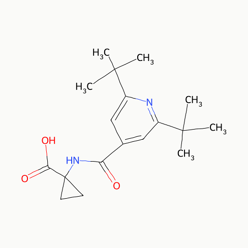 CC(C)(C)c1cc(C(=O)NC2(C(=O)O)CC2)cc(C(C)(C)C)n1